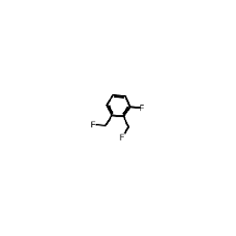 FCc1cccc(F)c1CF